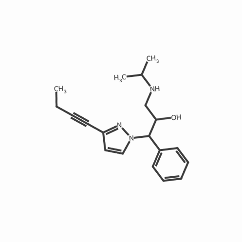 CCC#Cc1ccn(C(c2ccccc2)C(O)CNC(C)C)n1